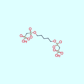 O=S(=O)(O)CS(=O)(=O)OCCCCCOS(=O)(=O)CS(=O)(=O)O